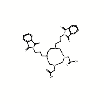 O=C(O)CN1CCN(CCCN2C(=O)c3ccccc3C2=O)CCN(CCCN2C(=O)c3ccccc3C2=O)CCN(CC(=O)O)CC1